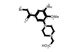 COc1c(N2CCN(CC(=O)O)CC2)cc(C(=O)CBr)cc1C(C)(C)C